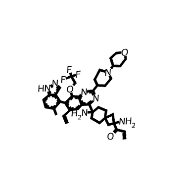 C=CC(=O)C1(N)CC2(CCC(N)(c3nc(C4CCN(C5CCOCC5)CC4)nc4c(OCC(F)(F)F)c(-c5c(C)ccc6[nH]ncc56)c(C=C)cc34)CC2)C1